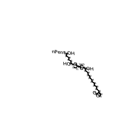 CCCCC[C@H](O)CCCC[C@H](O)[C@H]1CC[C@H]([C@H]2CC[C@H]([C@H](O)CCCCCCCCCCCCC3=CCOC3=O)O2)O1